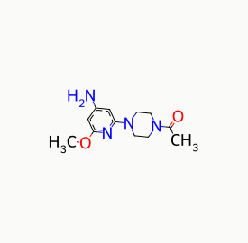 COc1cc(N)cc(N2CCN(C(C)=O)CC2)n1